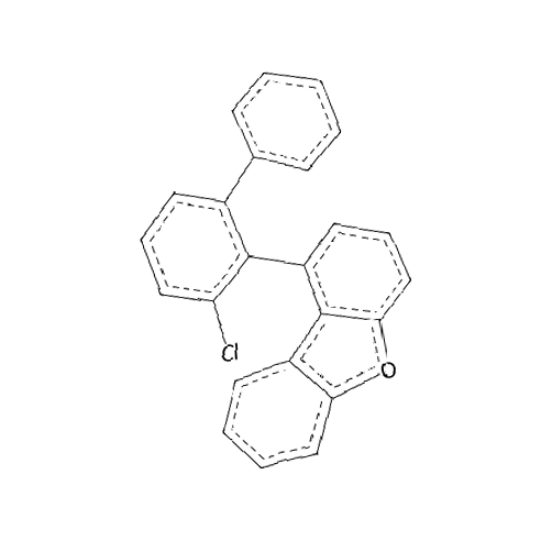 Clc1cccc(-c2ccccc2)c1-c1cccc2oc3ccccc3c12